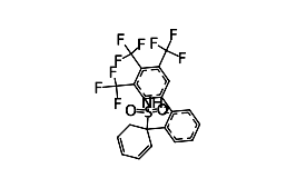 NS(=O)(=O)C1(c2ccccc2-c2cc(C(F)(F)F)c(C(F)(F)F)c(C(F)(F)F)c2)C=CC=CC1